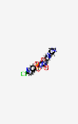 O=C1CN(S(=O)(=O)c2ccc3nc(Cl)ccc3c2)CC2OC3(CCN(c4ccncc4)CC3)CN12